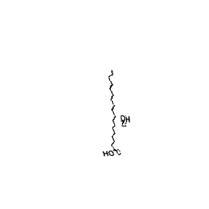 CCCCCCCCCCCCCCCCCC(=O)O.[OH][Zr]